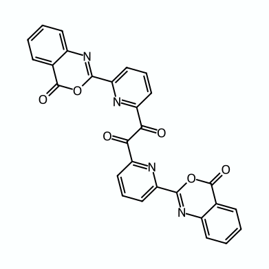 O=C(C(=O)c1cccc(-c2nc3ccccc3c(=O)o2)n1)c1cccc(-c2nc3ccccc3c(=O)o2)n1